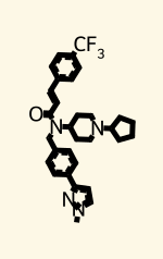 Cn1ccc(-c2ccc(CN(C(=O)C=Cc3ccc(C(F)(F)F)cc3)C3CCN(C4CCCC4)CC3)cc2)n1